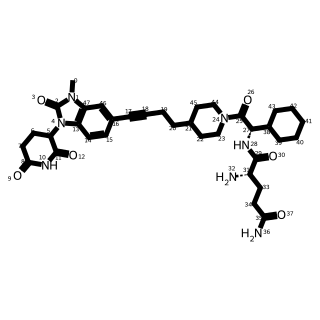 Cn1c(=O)n(C2CCC(=O)NC2=O)c2ccc(C#CCCC3CCN(C(=O)[C@@H](NC(=O)[C@@H](N)CCC(N)=O)C4CCCCC4)CC3)cc21